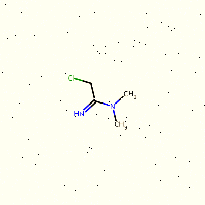 CN(C)C(=N)CCl